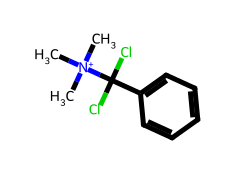 C[N+](C)(C)C(Cl)(Cl)c1ccccc1